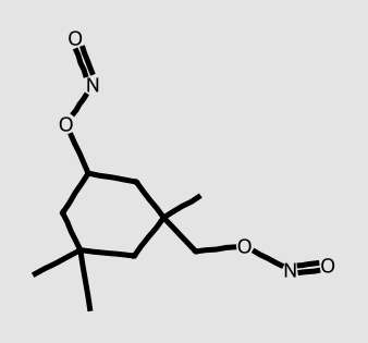 CC1(C)CC(ON=O)CC(C)(CON=O)C1